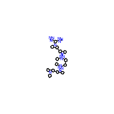 c1ccc(-c2nc(-c3cccc(-c4cccc(-c5nc(-c6ccccc6)nc(-n6c7ccccc7c7ccc(-c8ccc9c%10ccccc%10n(-c%10ccccc%10)c9c8)cc76)n5)c4)c3)nc(-n3c4ccccc4c4cc(-c5ccc6c(c5)c5ccccc5n6-c5cc(-c6ncncn6)cc(-c6ncncn6)c5)ccc43)n2)cc1